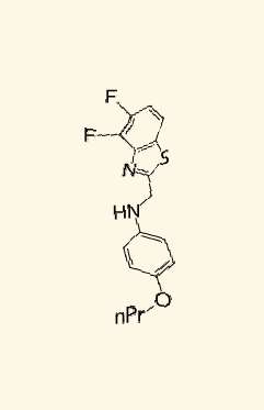 CCCOc1ccc(NCc2nc3c(F)c(F)ccc3s2)cc1